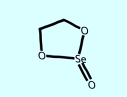 O=[Se]1OCCO1